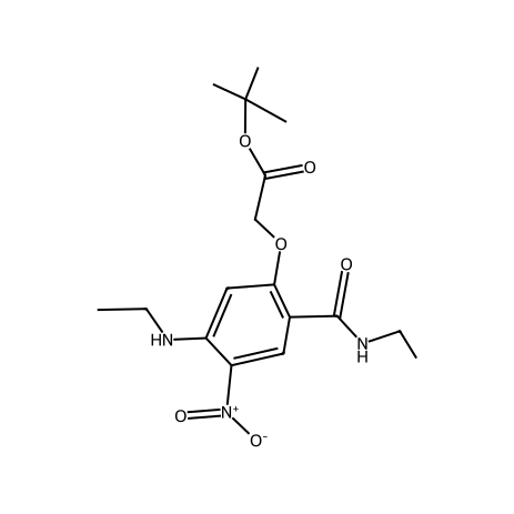 CCNC(=O)c1cc([N+](=O)[O-])c(NCC)cc1OCC(=O)OC(C)(C)C